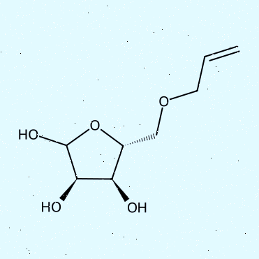 C=CCOC[C@H]1OC(O)[C@H](O)[C@@H]1O